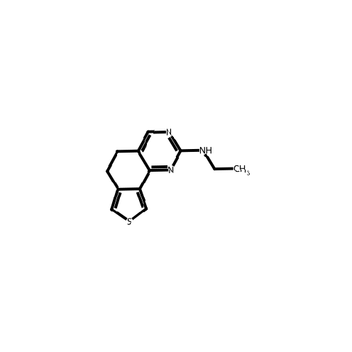 CCNc1ncc2c(n1)-c1cscc1CC2